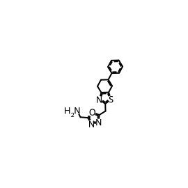 NCc1nnc(Cc2nc3c(s2)C=C(c2ccccc2)CC3)o1